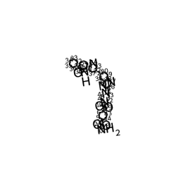 NS(=O)(=O)c1ccc(S(=O)(=O)N2CCN(c3cnc4ccc(-c5cncc(NS(=O)(=O)c6ccccc6)c5)cc4n3)CC2)cc1